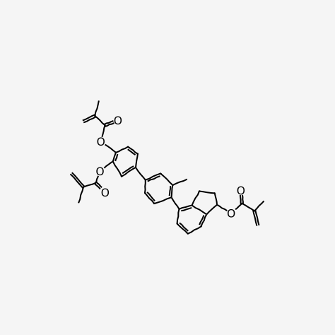 C=C(C)C(=O)Oc1ccc(-c2ccc(-c3cccc4c3CCC4OC(=O)C(=C)C)c(C)c2)cc1OC(=O)C(=C)C